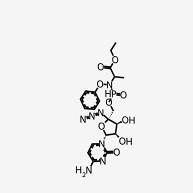 CCOC(=O)C(C)N(Oc1ccccc1)[PH](=O)OC[C@@]1(N=[N+]=[N-])O[C@@H](n2ccc(N)nc2=O)[C@H](O)[C@@H]1O